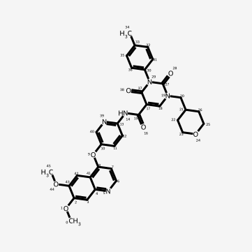 COc1cc2nccc(Oc3ccc(NC(=O)c4cn(CC5CCOCC5)c(=O)n(-c5ccc(C)cc5)c4=O)nc3)c2cc1OC